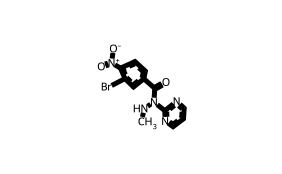 CNN(C(=O)c1ccc([N+](=O)[O-])c(Br)c1)c1ncccn1